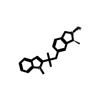 CC(C)N1Cc2ccc(CC(C)(C)c3cc4ccccc4n3C)cc2[C@H]1C